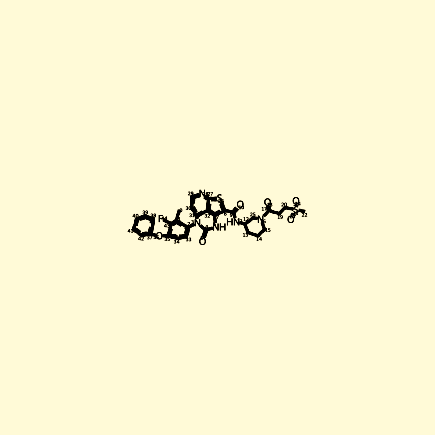 Cc1c(N2C(=O)Nc3c(C(=O)NC4CCCN(C(=O)CCS(C)(=O)=O)C4)sc4nccc2c34)ccc(Oc2ccccc2)c1F